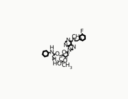 CN(Cc1cccc(F)c1)c1ncnc2c1ncn2[C@H]1C[C@H](OC(C)(C)O)[C@@H](COC(=S)Nc2ccccc2)O1